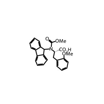 COC(=O)N(C1c2ccccc2-c2ccccc21)[C@@H](Cc1ccccc1OC)C(=O)O